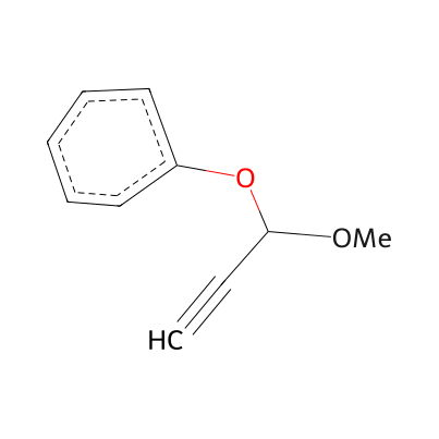 C#CC(OC)Oc1ccccc1